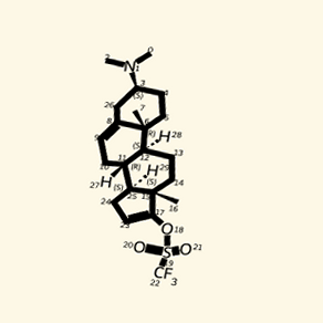 CN(C)[C@H]1CC[C@@]2(C)C(=CC[C@@H]3[C@@H]2CC[C@]2(C)C(OS(=O)(=O)C(F)(F)F)=CC[C@@H]32)C1